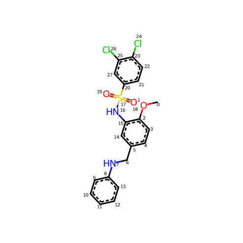 COc1ccc(CNc2ccccc2)cc1NS(=O)(=O)c1ccc(Cl)c(Cl)c1